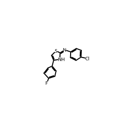 Fc1ccc(-c2csc(=Nc3ccc(Cl)cc3)[nH]2)cc1